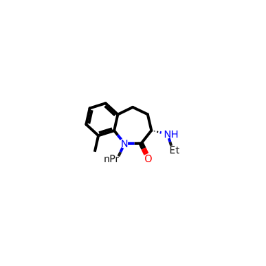 CCCN1C(=O)[C@@H](NCC)CCc2cccc(C)c21